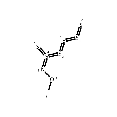 S=S=S=S=S(=S)=NOI